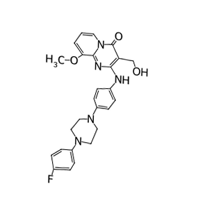 COc1cccn2c(=O)c(CO)c(Nc3ccc(N4CCN(c5ccc(F)cc5)CC4)cc3)nc12